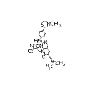 CCN(C#Cc1cc2cnc(Nc3ccc(C4CN(C)CCS4)cc3)nc2n(Cc2ocnc2Cl)c1=O)CC